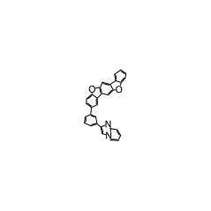 c1cc(-c2ccc3oc4cc5c(cc4c3c2)oc2ccccc25)cc(-c2cn3ccccc3n2)c1